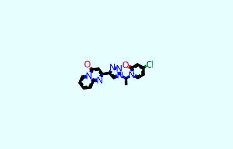 CC(n1cc(-c2cc(=O)n3ccccc3n2)nn1)n1ccc(Cl)cc1=O